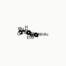 CCN(c1ccc2[nH]c(C(C3CCOCC3)C(C)(C)C)nc2c1)S(=O)(=O)c1ccc(NC(C)=O)cc1